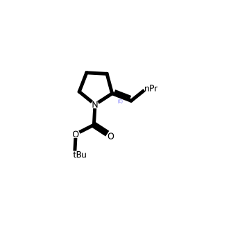 CCC/C=C1\CCCN1C(=O)OC(C)(C)C